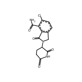 NC(=O)c1c(Cl)ccc2c1C(=O)N(C1CCC(=O)NC1=O)C2